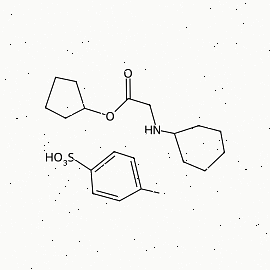 Cc1ccc(S(=O)(=O)O)cc1.O=C(CNC1CCCCC1)OC1CCCC1